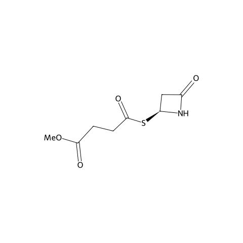 COC(=O)CCC(=O)S[C@H]1CC(=O)N1